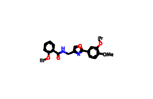 CCOc1ccccc1C(=O)NCc1coc(-c2ccc(OC)c(OC(C)C)c2)n1